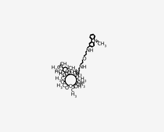 CC[C@H]1OC(=O)[C@H](C)C(=O)[C@H](C)[C@@H](O[C@@H]2O[C@H](C)C[C@H](N(C)C)[C@H]2O)[C@@](C)(OC)C[C@@H](C)/C(=N\OCCNCCCOCCCNCc2ccc3c(c2)c2ccccc2n3CC)[C@@H](C)[C@@H](O)[C@]1(C)O